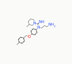 Cc1ccc(COc2ccc(N(CCCN)C(=N)N3CCCC(C)C3)cc2)cc1